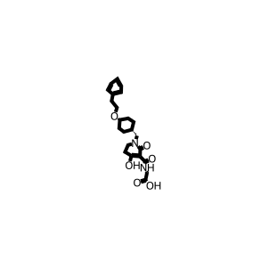 O=C(O)CNC(=O)C1=C(O)CCN(C[C@H]2CC[C@H](OCCc3ccccc3)CC2)C1=O